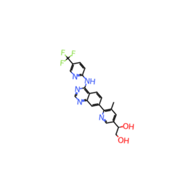 Cc1cc([C@@H](O)CO)cnc1-c1ccc2c(Nc3ccc(C(F)(F)F)cn3)ncnc2c1